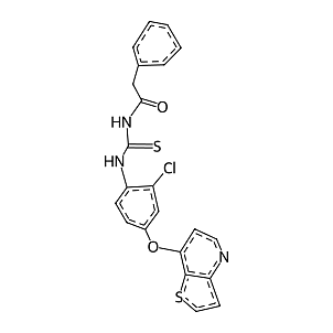 O=C(Cc1ccccc1)NC(=S)Nc1ccc(Oc2ccnc3ccsc23)cc1Cl